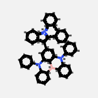 c1ccc(N2c3ccccc3B3c4ccccc4N(c4ccccc4)c4cc(-c5c6ccccc6n6c7ccccc7c7ccccc7c56)cc2c43)cc1